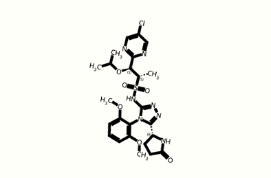 COc1cccc(OC)c1-n1c(NS(=O)(=O)[C@@H](C)[C@@H](OC(C)C)c2ncc(Cl)cn2)nnc1[C@H]1CCC(=O)N1